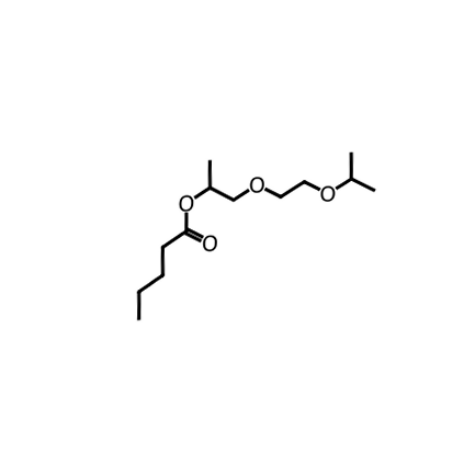 CCCCC(=O)OC(C)COCCOC(C)C